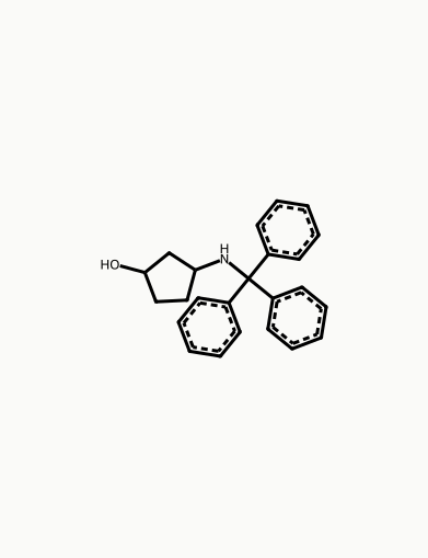 OC1CCC(NC(c2ccccc2)(c2ccccc2)c2ccccc2)C1